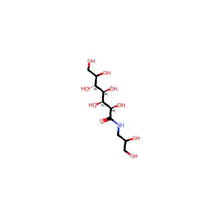 O=C(NCC(O)CO)[C@H](O)[C@@H](O)[C@H](O)[C@H](O)C(O)CO